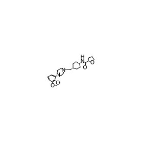 O=C(N[C@H]1CC[C@H](CCN2CCN(c3cccc4c3OCO4)CC2)CC1)C1CCCO1